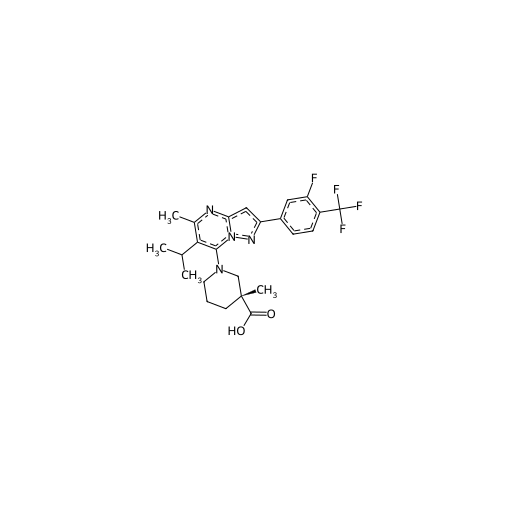 Cc1nc2cc(-c3ccc(C(F)(F)F)c(F)c3)nn2c(N2CCC[C@@](C)(C(=O)O)C2)c1C(C)C